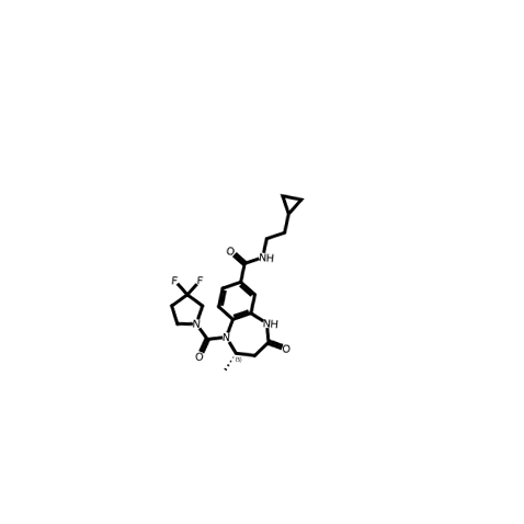 C[C@H]1CC(=O)Nc2cc(C(=O)NCCC3CC3)ccc2N1C(=O)N1CCC(F)(F)C1